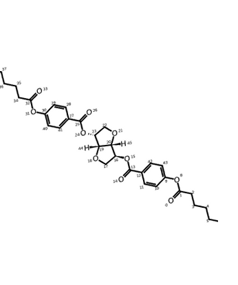 O=C(CCCCCBr)Oc1ccc(C(=O)O[C@H]2CO[C@H]3[C@@H]2OC[C@H]3OC(=O)c2ccc(OC(=O)CCCCCBr)cc2)cc1